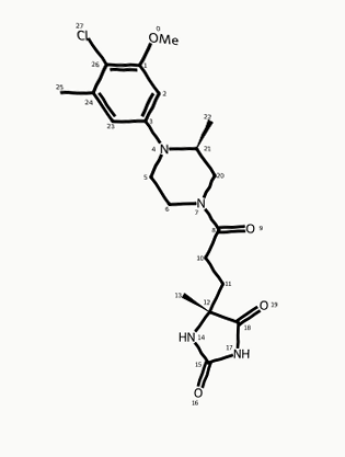 COc1cc(N2CCN(C(=O)CC[C@@]3(C)NC(=O)NC3=O)C[C@@H]2C)cc(C)c1Cl